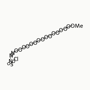 COCCOCCOCCOCCOCCOCCOCCOCCOCCOCCOCCOCCOCCOCCOCCOCCN1CCN(CCCN2c3ccccc3Sc3ccc(Cl)cc32)CC1